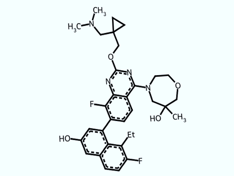 CCc1c(F)ccc2cc(O)cc(-c3ccc4c(N5CCOCC(C)(O)C5)nc(OCC5(CN(C)C)CC5)nc4c3F)c12